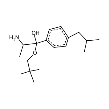 CC(C)Cc1ccc(C(O)(OCC(C)(C)C)C(C)N)cc1